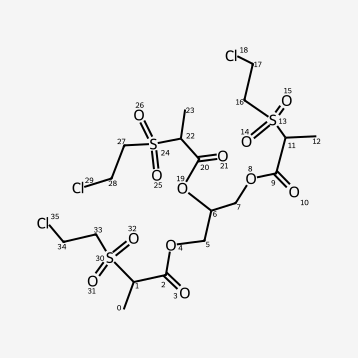 CC(C(=O)OCC(COC(=O)C(C)S(=O)(=O)CCCl)OC(=O)C(C)S(=O)(=O)CCCl)S(=O)(=O)CCCl